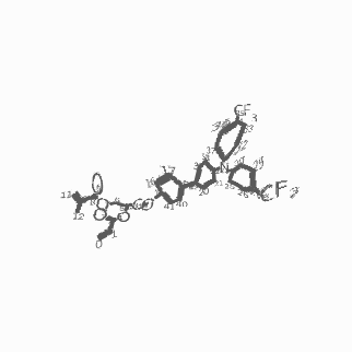 C=CC(=O)OC(COC(=O)C(=C)C)COc1ccc(-c2ccc(N(c3ccc(C(F)(F)F)cc3)c3ccc(C(F)(F)F)cc3)cc2)cc1